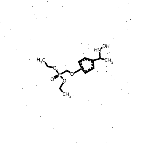 CCOP(=O)(COc1ccc(C(C)NO)cc1)OCC